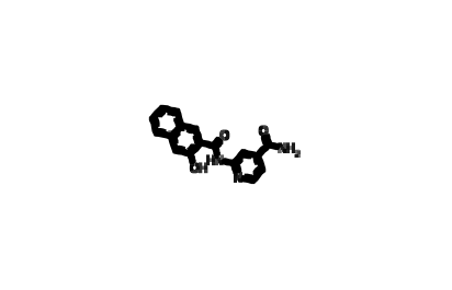 NC(=O)c1ccnc(NC(=O)c2cc3ccccc3cc2O)c1